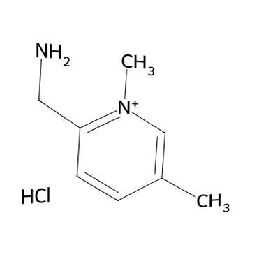 Cc1ccc(CN)[n+](C)c1.Cl